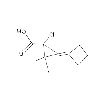 CC1(C)C(=C2CCC2)C1(Cl)C(=O)O